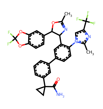 CC1=NC(c2cc(-c3cccc(C4(C(N)=O)CC4)c3)ccc2-n2cc(C(F)(F)F)nc2C)C(c2ccc3c(c2)OC(F)(F)O3)O1